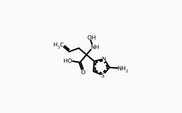 C=CCC(NO)(C(=O)O)c1csc(N)n1